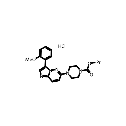 COc1ccccc1-c1cnc2ccc(N3CCN(C(=O)OC(C)C)CC3)nn12.Cl